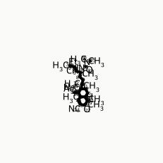 CCC(C)(C)CC[C@@](C)(CCC(C)(C)[C@]1(C)CC[C@H]2C(C)(C)C(=O)C(C#N)=C[C@]2(C)/C1=C/C(C)=O)NC(=O)N(C)C